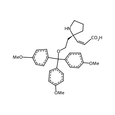 COc1ccc(C(OCC[C@]2(/C=C\C(=O)O)CCCN2)(c2ccc(OC)cc2)c2ccc(OC)cc2)cc1